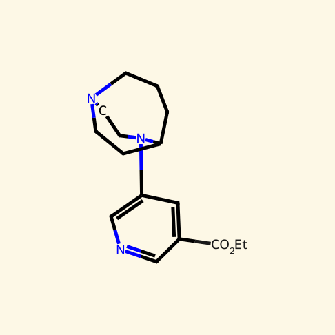 CCOC(=O)c1cncc(N2CCN3CCCC2CC3)c1